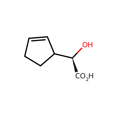 O=C(O)[C@H](O)C1C=CCC1